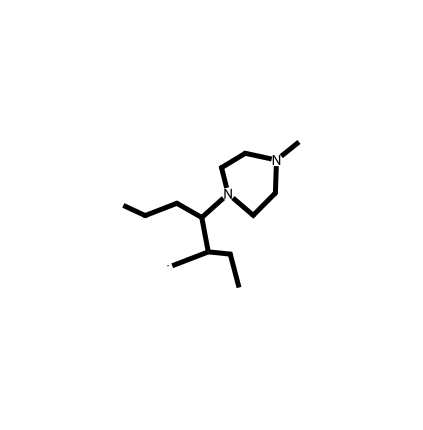 [CH2]C(CC)C(CCC)N1CCN(C)CC1